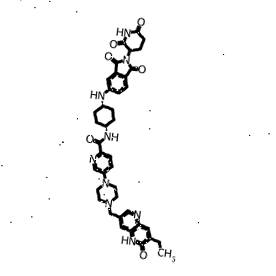 CCc1cc2ncc(CN3CCN(c4ccc(C(=O)N[C@H]5CC[C@@H](Nc6ccc7c(c6)C(=O)N(C6CCC(=O)NC6=O)C7=O)CC5)nc4)CC3)cc2[nH]c1=O